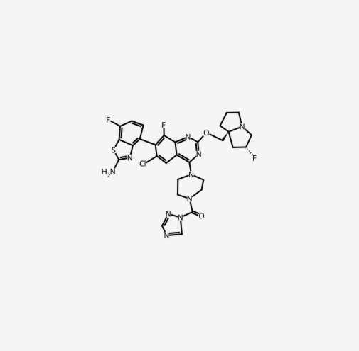 Nc1nc2c(-c3c(Cl)cc4c(N5CCN(C(=O)n6cncn6)CC5)nc(OC[C@@]56CCCN5C[C@H](F)C6)nc4c3F)ccc(F)c2s1